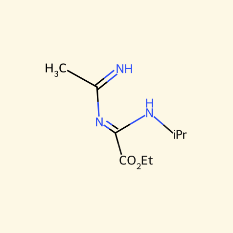 CCOC(=O)/C(=N/C(C)=N)NC(C)C